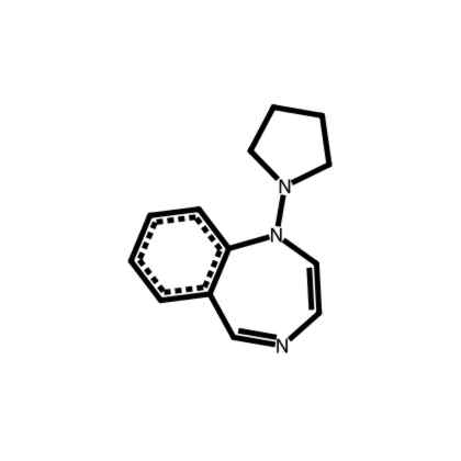 C1=CN(N2CCCC2)c2ccccc2C=N1